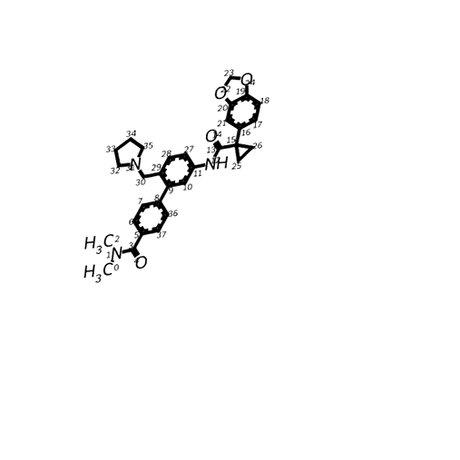 CN(C)C(=O)c1ccc(-c2cc(NC(=O)C3(c4ccc5c(c4)OCO5)CC3)ccc2CN2CCCC2)cc1